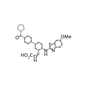 COc1ccc2nc(Nc3ccc(-c4ccc(C(=O)C5CCCC5)cc4)cc3F)sc2c1.O=C(O)O